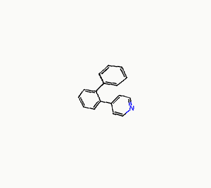 c1ccc(-c2ccccc2-c2ccncc2)cc1